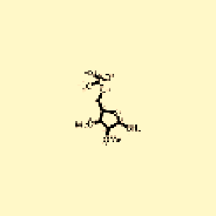 BC1SC(COP(C)(=O)S)C(OC)C1OC